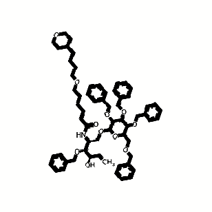 CC[C@@H](O)[C@@H](OCc1ccccc1)[C@H](COC1OC(COCc2ccccc2)C(OCc2ccccc2)C(OCc2ccccc2)C1OCc1ccccc1)NC(=O)CCCCCOCCCCC1CCOCC1